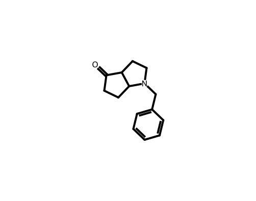 O=C1CCC2C1CCN2Cc1ccccc1